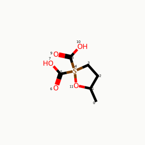 CC1CCS(C(=O)O)(C(=O)O)O1